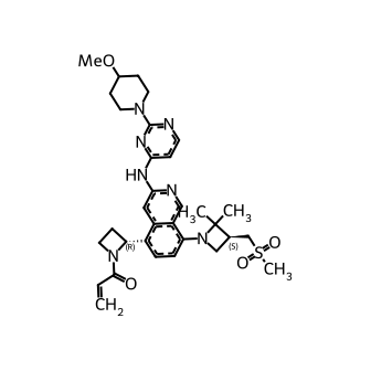 C=CC(=O)N1CC[C@@H]1c1ccc(N2C[C@H](CS(C)(=O)=O)C2(C)C)c2cnc(Nc3ccnc(N4CCC(OC)CC4)n3)cc12